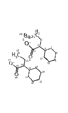 CCC(C(=O)[O-])C1CCCCC1.CCC(C(=O)[O-])C1CCCCC1.[Ba+2]